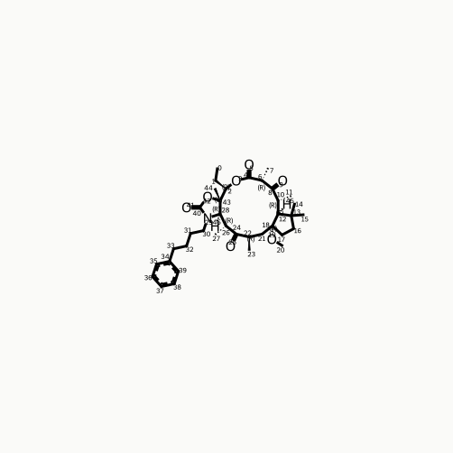 CC[C@H]1OC(=O)[C@H](C)C(=O)[C@H](C)[C@H]2C(C)(C)CC[C@@]2(OC)C[C@@H](C)C(=O)[C@H](C)[C@H]2N(CCCCc3ccccc3)C(=O)O[C@]12C